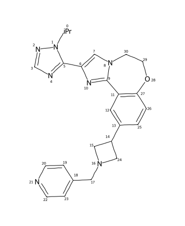 CC(C)n1ncnc1-c1cn2c(n1)-c1cc(C3CN(Cc4ccncc4)C3)ccc1OCC2